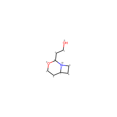 OCCC1OCCC2CCN21